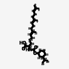 CC(C)=CCC/C(C)=C/CC/C(C)=C/CSCC(NC(=O)OC1CCCC(C(C)C)C1)C(=O)O